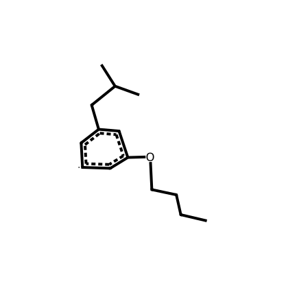 CCCCOc1c[c]cc(CC(C)C)c1